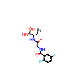 CC(C)C[C@H](NC(=O)CNC(=O)c1cc(F)ccc1F)B(O)O